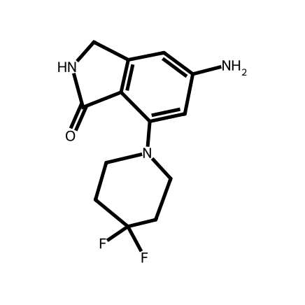 Nc1cc2c(c(N3CCC(F)(F)CC3)c1)C(=O)NC2